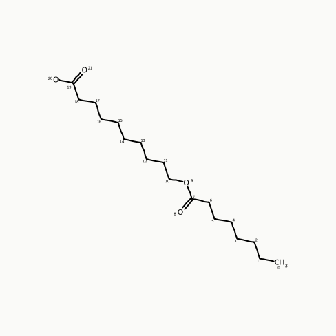 CCCCCCCC(=O)OCCCCCCCCCC([O])=O